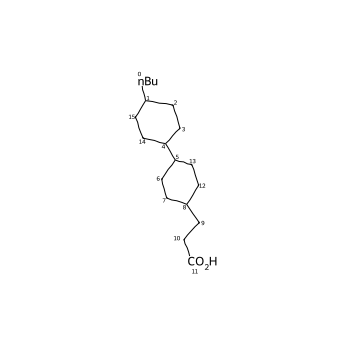 CCCCC1CCC(C2CCC(CCC(=O)O)CC2)CC1